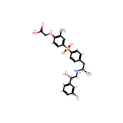 Cc1cc(S(=O)(=O)c2ccc(C[C@@H](C)NC[C@H](O)c3cccc(Cl)c3)cc2)ccc1OCC(=O)O